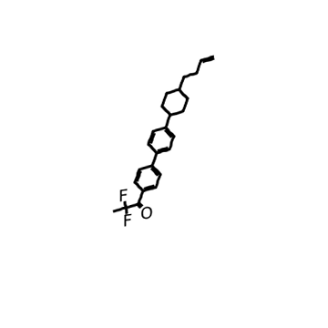 C=CCCC1CCC(c2ccc(-c3ccc(C(=O)C(C)(F)F)cc3)cc2)CC1